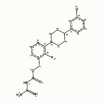 N=C(N)NC(=O)OCc1ccnc(N2CCC(c3cccc(Cl)c3)CC2)c1F